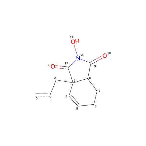 C=CCC12C=CCCC1C(=O)N(O)C2=O